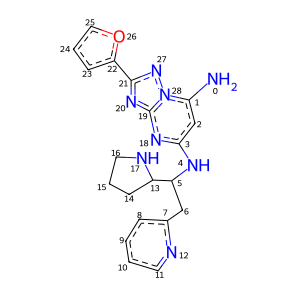 Nc1cc(NC(Cc2ccccn2)C2CCCN2)nc2nc(-c3ccco3)nn12